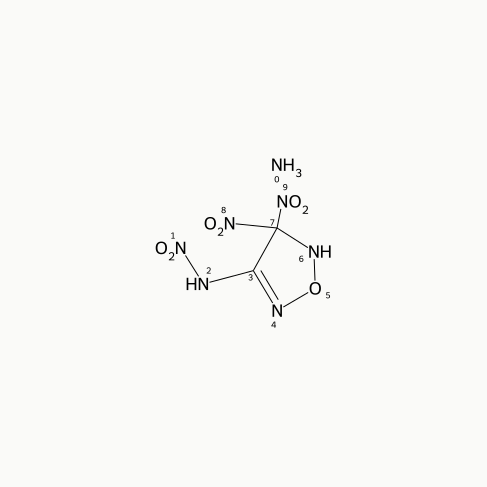 N.O=[N+]([O-])NC1=NONC1([N+](=O)[O-])[N+](=O)[O-]